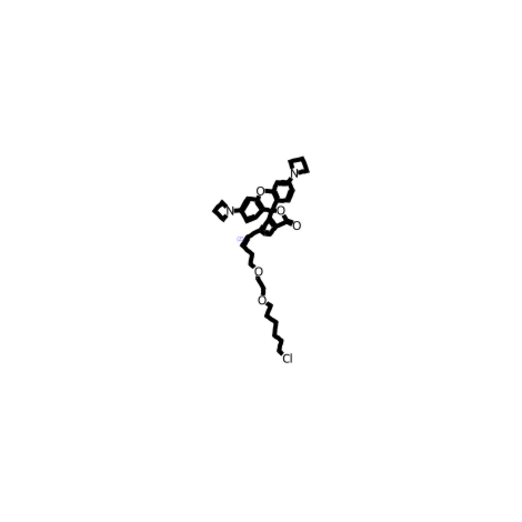 O=C1OC2(c3ccc(N4CCC4)cc3Oc3cc(N4CCC4)ccc32)c2cc(/C=C\CCOCCOCCCCCCCl)ccc21